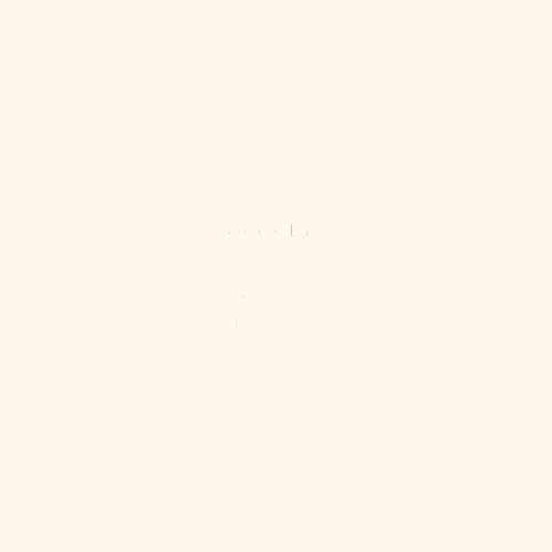 [La+3].[La+3].[La].[O-2].[O-2].[O-2]